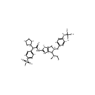 CC[C@@H](C)C1c2nc(NC(=O)C(c3ccc(S(C)(=O)=O)cc3)C3CCCC3)sc2CN1Cc1ccc(OC(F)(F)F)cc1